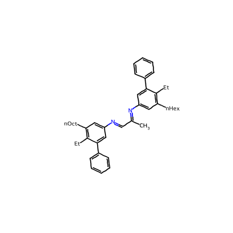 CCCCCCCCc1cc(N=CC(C)=Nc2cc(CCCCCC)c(CC)c(-c3ccccc3)c2)cc(-c2ccccc2)c1CC